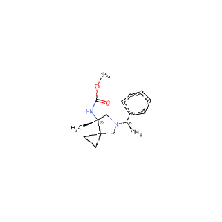 C[C@H](c1ccccc1)N1CC2(CC2)[C@](C)(NC(=O)OC(C)(C)C)C1